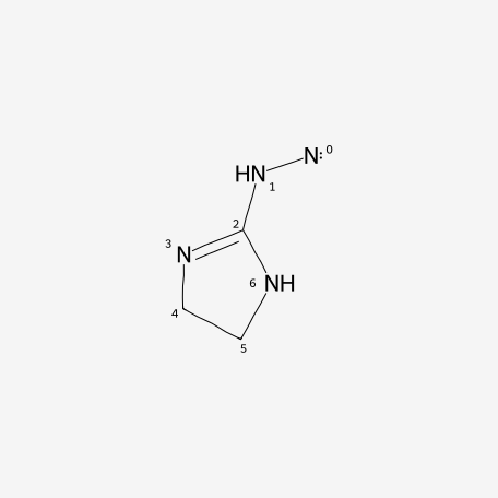 [N]NC1=NCCN1